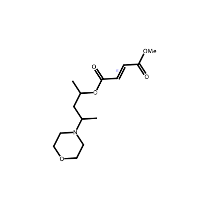 COC(=O)/C=C/C(=O)OC(C)CC(C)N1CCOCC1